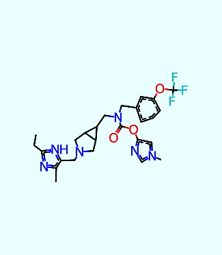 CCc1nc(C)c(CN2CC3C(C2)C3CN(Cc2cccc(OC(F)(F)F)c2)C(=O)Oc2cn(C)cn2)[nH]1